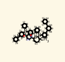 C/C=C(\C=C/C(C)c1ccccc1N(c1ccccc1)c1ccc(-c2ccccc2)cc1)C1BC(N(c2ccccc2)c2cccc(-c3cccc(-c4ccccc4)c3)c2)C(C)CC=C1